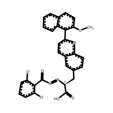 COc1ccc2ccccc2c1-c1ccc2cc(C[C@H](N=NC(=O)c3c(Cl)cccc3Cl)C(=O)O)ccc2n1